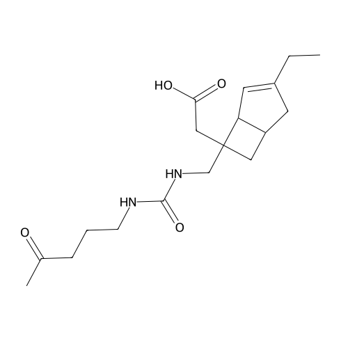 CCC1=CC2C(C1)CC2(CNC(=O)NCCCC(C)=O)CC(=O)O